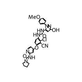 COc1ccc(-n2nc(O)cc2NC(=O)Nc2ccc(Oc3ccnc(NC(=O)N4CCCC4)c3)c(C#N)c2Cl)cc1